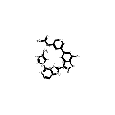 CCCCC(=O)Nc1cncc(-c2cc(F)c3[nH]nc(-c4nc5c(-n6cnc(C)c6)nccc5[nH]4)c3c2)c1